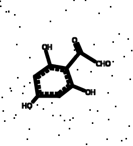 O=CC(=O)c1c(O)cc(O)cc1O